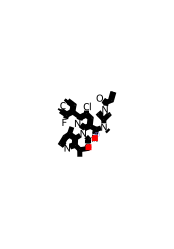 C=CC(=O)N1CC(N(C)/C(=N/C)c2cc(Cl)c(-c3ccccc3F)nc2N(C=O)c2c(C)ccnc2C(C)C)C1